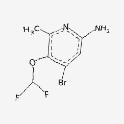 Cc1nc(N)cc(Br)c1OC(F)F